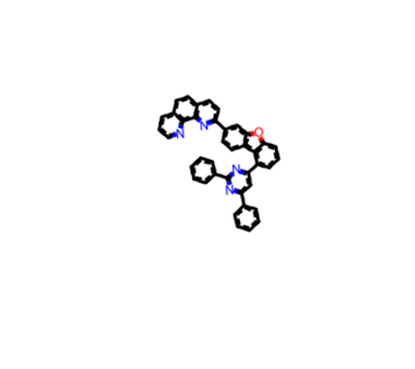 c1ccc(-c2cc(-c3cccc4oc5cc(-c6ccc7ccc8cccnc8c7n6)ccc5c34)nc(-c3ccccc3)n2)cc1